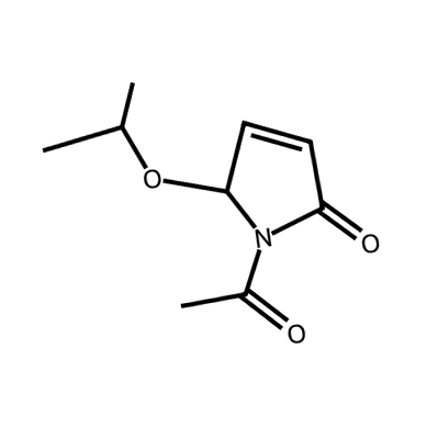 CC(=O)N1C(=O)C=CC1OC(C)C